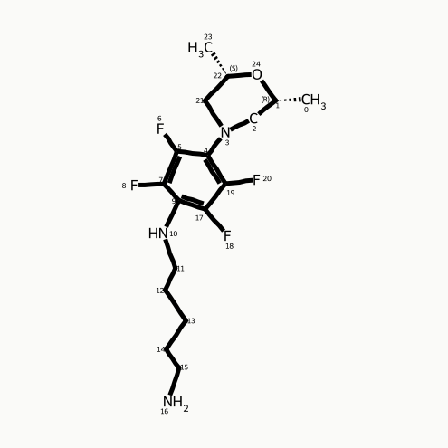 C[C@@H]1CN(c2c(F)c(F)c(NCCCCCN)c(F)c2F)C[C@H](C)O1